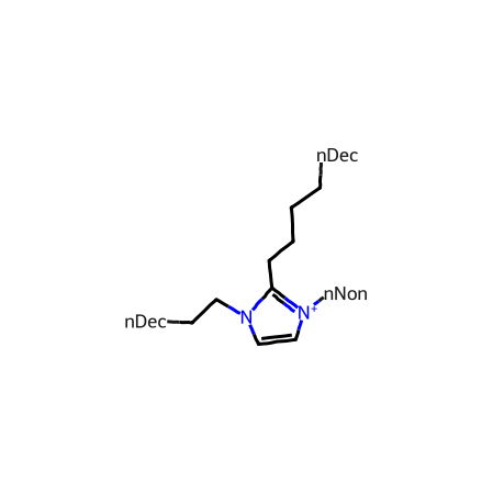 CCCCCCCCCCCCCCc1n(CCCCCCCCCCCC)cc[n+]1CCCCCCCCC